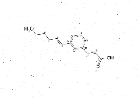 CCCCC=Cc1cccc(/C=C/C(=O)O)c1